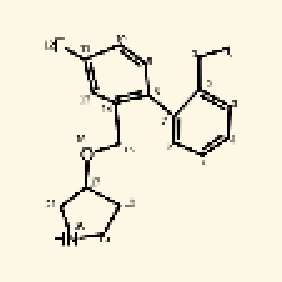 CCc1ccccc1-c1ccc(F)cc1CO[C@H]1CCNC1